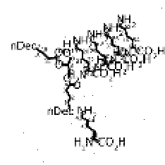 CCCCCCCCCCCCCC(=O)OCC(CO)OC(=O)CCCCCCCCCCCCC.NCCCC[C@H](N)C(=O)O.NCCCC[C@H](N)C(=O)O.NCCCC[C@H](N)C(=O)O.NCCCC[C@H](N)C(=O)O.NCCCC[C@H](N)C(=O)O